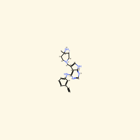 C#Cc1cccc(Nc2ncnc3[nH]cc(CN4CCC(C)(N)CC4)c23)c1